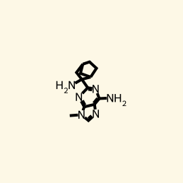 Cn1cnc2c(N)nc(C3(N)CC4CCC3C4)nc21